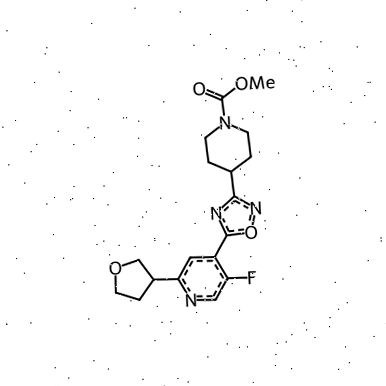 COC(=O)N1CCC(c2noc(-c3cc(C4CCOC4)ncc3F)n2)CC1